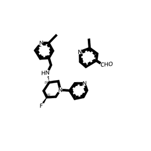 Cc1cc(C=O)ccn1.Cc1cc(CN[C@H]2C[C@H](F)CN(c3cccnc3)C2)ccn1